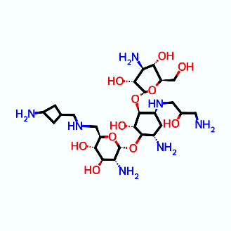 NCC(O)CN[C@@H]1C[C@H](N)C(O[C@H]2O[C@H](CNCC3CC(N)C3)[C@@H](O)[C@H](O)[C@H]2N)[C@H](O)[C@H]1O[C@H]1O[C@H](CO)[C@@H](O)[C@H](N)[C@H]1O